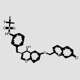 O=S(=O)(Nc1cccc(C[C@@H]2COc3ccc(OCc4ccc5ccc(Cl)cc5n4)cc3[C@@H]2O)c1)C(F)(F)F